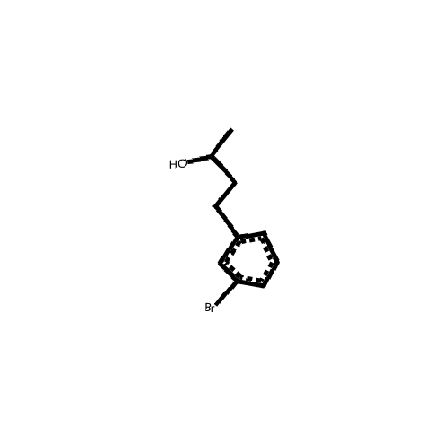 CC(O)C[CH]c1cccc(Br)c1